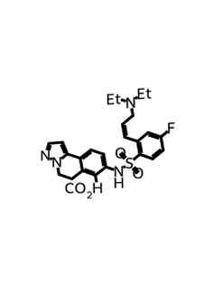 CCN(CC)C/C=C\c1cc(F)ccc1S(=O)(=O)Nc1ccc2c(c1C(=O)O)CCn1nccc1-2